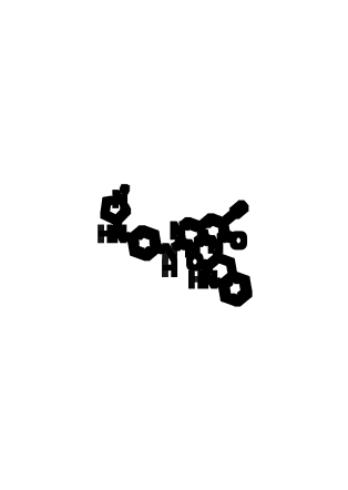 C#Cc1cc2cnc(Nc3ccc(NC4CCN(C)C4)cc3)nc2n(C2Cc3ccccc3NC2=O)c1=O